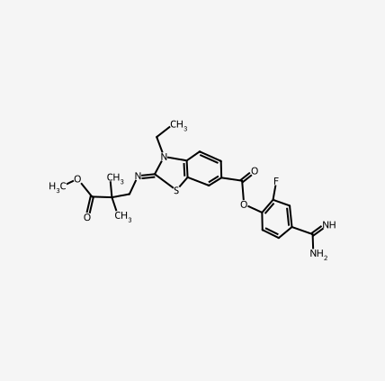 CCn1/c(=N/CC(C)(C)C(=O)OC)sc2cc(C(=O)Oc3ccc(C(=N)N)cc3F)ccc21